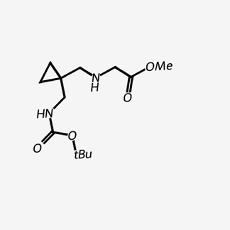 COC(=O)CNCC1(CNC(=O)OC(C)(C)C)CC1